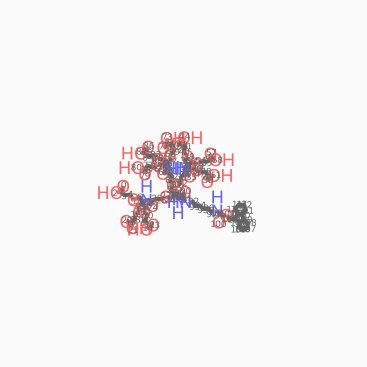 O=C(O)CCOCC(COCCC(=O)O)(COCCC(=O)O)NC(=O)CCOCC(COCCC(=O)NC(COCCC(=O)O)(COCCC(=O)O)COCCC(=O)O)(COCCC(=O)NC(COCCC(=O)O)(COCCC(=O)O)COCCC(=O)O)NC(=O)NCCCCCCNC(=O)OCC1c2ccccc2-c2ccccc21